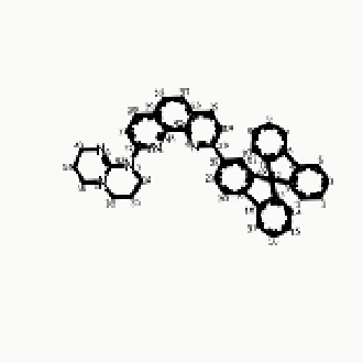 c1ccc2c(c1)-c1ccccc1C21c2ccccc2-c2ccc(-c3ccc4ccc5ccc(N6CCCN7CCCN=C76)nc5c4n3)cc21